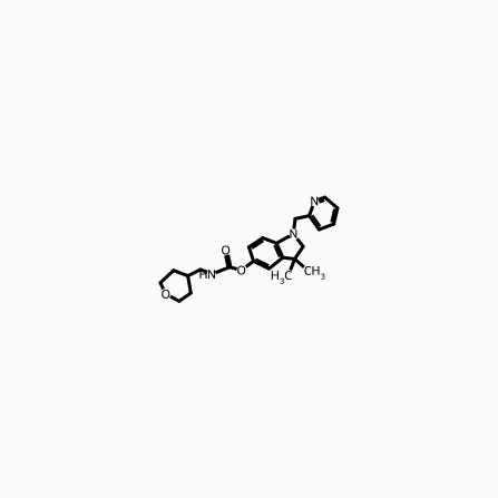 CC1(C)CN(Cc2ccccn2)c2ccc(OC(=O)NCC3CCOCC3)cc21